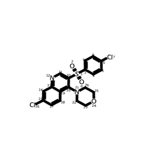 O=S(=O)(c1ccc(Cl)cc1)c1cnc2cc(Cl)ccc2c1N1CCOCC1